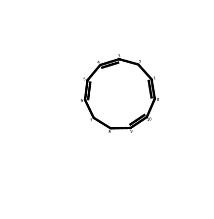 [C]1=CCC=CC=CCCC=C1